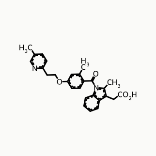 Cc1ccc(CCOc2ccc(C(=O)n3c(C)c(CC(=O)O)c4ccccc43)c(C)c2)nc1